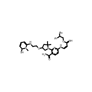 CCC(C)C(COC(=N)/C=C\Nc1ccc(C(N)=O)c(N2CC(OCCNC3=CC=CC(S)N3C)CC2(C)C)n1)C(C)C